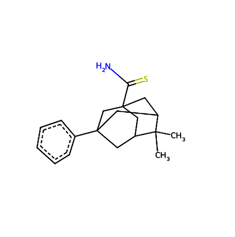 CC1(C)C2CC3(C(N)=S)CC1CC(c1ccccc1)(C2)C3